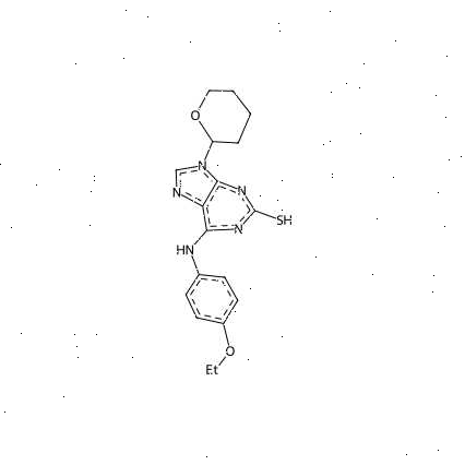 CCOc1ccc(Nc2nc(S)nc3c2ncn3C2CCCCO2)cc1